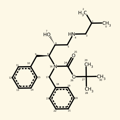 CC(C)CNC[C@@H](O)[C@H](Cc1ccccc1)N(Cc1ccccc1)C(=O)OC(C)(C)C